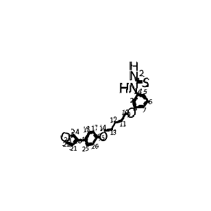 NC(=S)Nc1cccc(OCCCCCOc2ccc(-c3ccoc3)cc2)c1